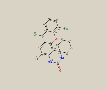 O=C1Nc2c(Cl)ccc(Oc3c(F)cccc3CCl)c2C2(CCCCC2)N1